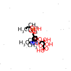 CCC(C)(C)OP(=O)(O)OCc1ccc(OC2OC(C(=O)O)C(O)C(O)C2O)c(NC(C)(C)C)c1